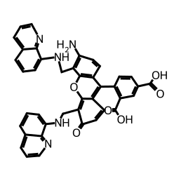 Nc1ccc2c(-c3ccc(C(=O)O)cc3C(=O)O)c3ccc(=O)c(CNc4cccc5cccnc45)c-3oc2c1CNc1cccc2cccnc12